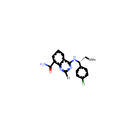 CCc1nc(N[C@H](CNC)c2ccc(Cl)cc2)c2cccc(C(N)=O)c2n1